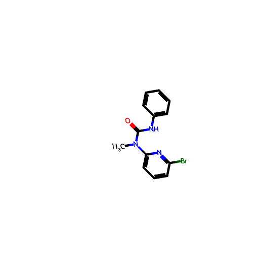 CN(C(=O)Nc1ccccc1)c1cccc(Br)n1